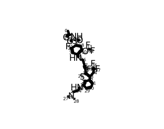 CC(=O)NS(=O)(=O)c1cc(OC(F)F)c(NCC#Cc2sc3c(NCCN(C)C)cccc3c2CC(F)(F)F)cc1F